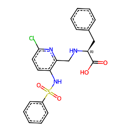 O=C(O)[C@H](Cc1ccccc1)NCc1nc(Cl)ccc1NS(=O)(=O)c1ccccc1